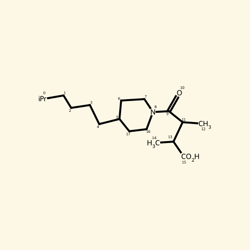 CC(C)CCCCC1CCN(C(=O)C(C)C(C)C(=O)O)CC1